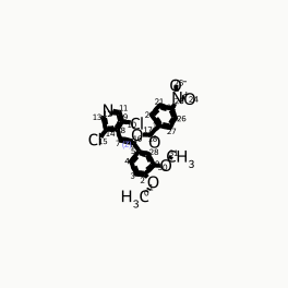 COc1ccc(/C(=C/c2c(Cl)cncc2Cl)OC(=O)c2ccc([N+](=O)[O-])cc2)cc1OC